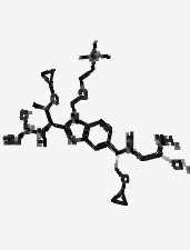 C[C@@H](OC1CC1)[C@H](N[S@+]([O-])C(C)(C)C)c1nc2cc([C@@H](COC3CC3)NC[C@H](N)C(F)(F)F)ccc2n1COCC[Si](C)(C)C